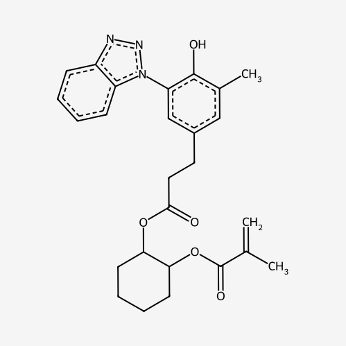 C=C(C)C(=O)OC1CCCCC1OC(=O)CCc1cc(C)c(O)c(-n2nnc3ccccc32)c1